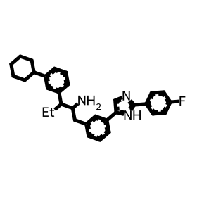 CCC(c1cccc(C2CCCCC2)c1)C(N)Cc1cccc(-c2cnc(-c3ccc(F)cc3)[nH]2)c1